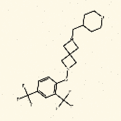 FC(F)(F)c1ccc(SN2CC3(CN(CC4CCOCC4)C3)C2)c(C(F)(F)F)c1